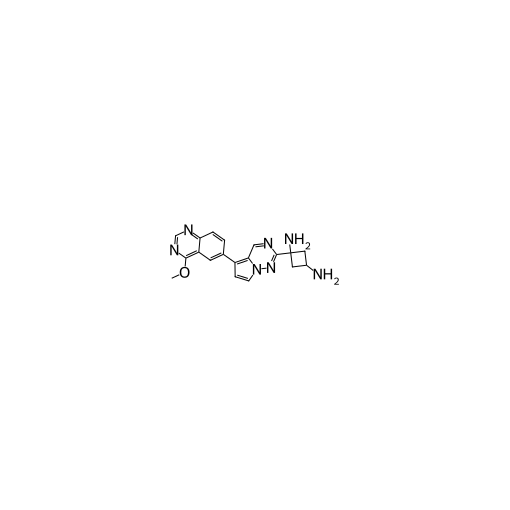 COc1ncnc2ccc(-c3ccn4nc(C5(N)CC(N)C5)ncc34)cc12